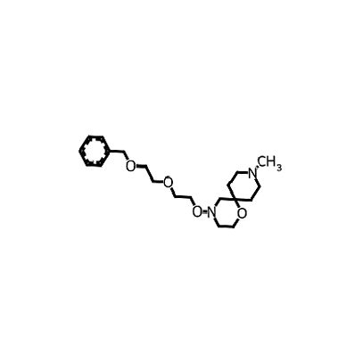 CN1CCC2(CC1)CN(OCCOCCOCc1ccccc1)CCO2